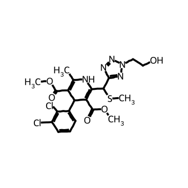 COC(=O)C1=C(C)NC(C(SC)c2nnn(CCO)n2)=C(C(=O)OC)C1c1cccc(Cl)c1Cl